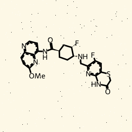 COc1ccc2nccc(NC(=O)[C@@H]3CC[C@@H](NCc4nc5c(cc4F)SCC(=O)N5)[C@@H](F)C3)c2n1